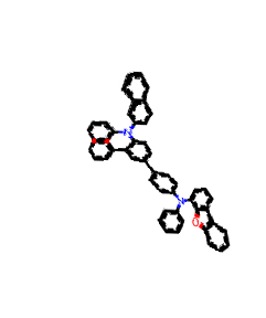 c1ccc(-c2cc(-c3ccc(N(c4ccccc4)c4cccc5c4oc4ccccc45)cc3)ccc2N(c2ccccc2)c2ccc3ccccc3c2)cc1